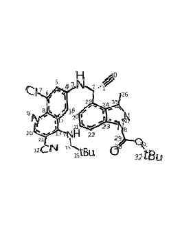 C#C[C@@H](Nc1cc(Cl)c2ncc(C#N)c(NCC(C)(C)C)c2c1)c1cccc2c1c(C)nn2C(=O)OC(C)(C)C